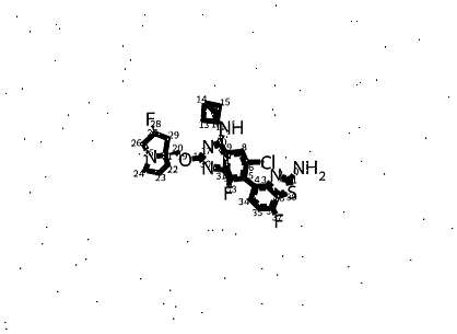 Nc1nc2c(-c3c(Cl)cc4c(NC56CC(C5)C6)nc(OC[C@@]56CCCN5C[C@H](F)C6)nc4c3F)ccc(F)c2s1